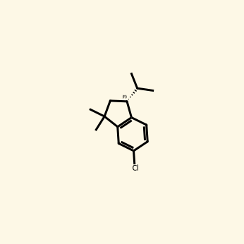 CC(C)[C@H]1CC(C)(C)c2cc(Cl)ccc21